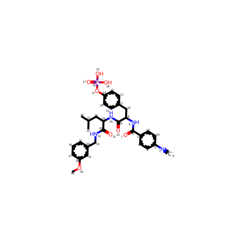 [C-]#[N+]c1ccc(C(=O)NC(Cc2ccc(OP(=O)(O)O)cc2)C(=O)NC(CC(C)C)C(=O)NCc2cccc(OC)c2)cc1